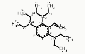 C=Cc1c(N(CC)CC)[c]cc(N(CC)CC)c1N(CC)CC